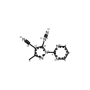 Cc1nn(-c2ncccn2)c([N+]#N)c1C#N